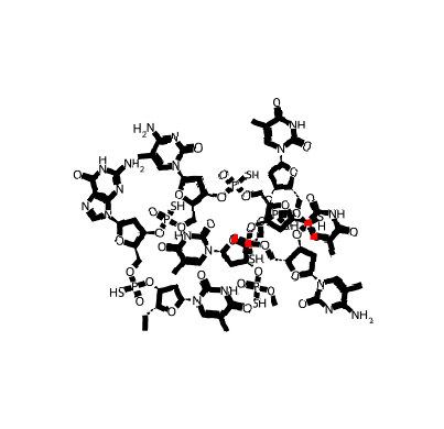 CC[C@H]1O[C@@H](n2cc(C)c(=O)[nH]c2=O)C[C@H]1OP(=O)(S)OC[C@H]1O[C@@H](n2cnc3c(=O)[nH]c(N)nc32)C[C@H]1OP(=O)(S)OC[C@H]1O[C@@H](n2cc(C)c(N)nc2=O)C[C@H]1OP(=O)(S)OC[C@H]1O[C@@H](n2cc(C)c(=O)[nH]c2=O)C[C@H]1OP(=O)(S)OC[C@H]1O[C@@H](n2cc(C)c(N)nc2=O)C[C@H]1OP(=O)(S)OC[C@H]1O[C@@H](n2cc(C)c(=O)[nH]c2=O)C[C@H]1OP(=O)(S)OC[C@H]1O[C@@H](n2cc(C)c(=O)[nH]c2=O)C[C@H]1OP(=O)(S)OC